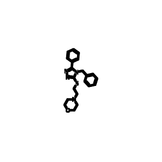 c1ccc(Cn2c(SCCN3CCOCC3)nnc2-c2ccccc2)cc1